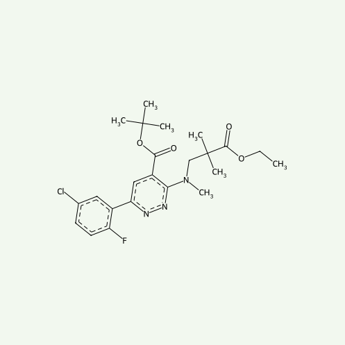 CCOC(=O)C(C)(C)CN(C)c1nnc(-c2cc(Cl)ccc2F)cc1C(=O)OC(C)(C)C